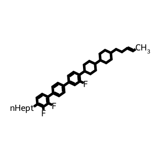 C/C=C/CCC1CCC(C2CCC(c3ccc(-c4ccc(-c5ccc(CCCCCCC)c(F)c5F)cc4)cc3F)CC2)CC1